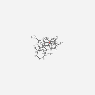 Cc1nc(-c2ccn[nH]2)c2c(n1)[C@H]1CCC[C@@H](C2)N1C(=O)c1ccc(F)c(Cl)c1Cl